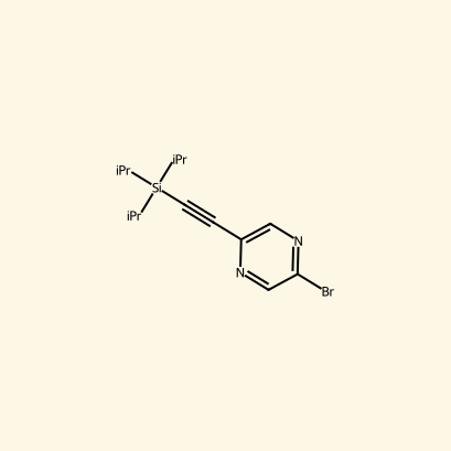 CC(C)[Si](C#Cc1cnc(Br)cn1)(C(C)C)C(C)C